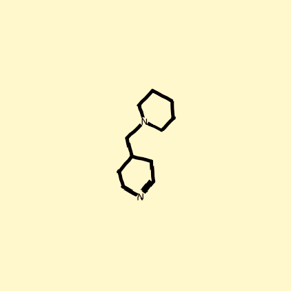 C1=NCCC(CN2CCCCC2)C1